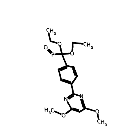 CCOC(OCC)(P=O)c1ccc(-c2nc(OC)cc(OC)n2)cc1